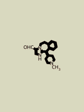 CN1CCC(=C2c3ccccc3CCN3C(C=O)=CNC23)CC1